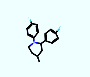 CC1CCN(c2ccc(F)cc2)C(c2ccc(F)cc2)C1